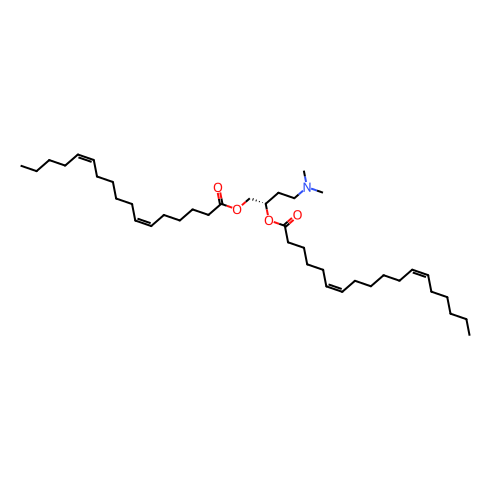 CCCC/C=C\CCCC/C=C\CCCCC(=O)OC[C@H](CCN(C)C)OC(=O)CCCC/C=C\CCCC/C=C\CCCCC